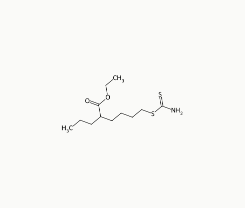 CCCC(CCCCSC(N)=S)C(=O)OCC